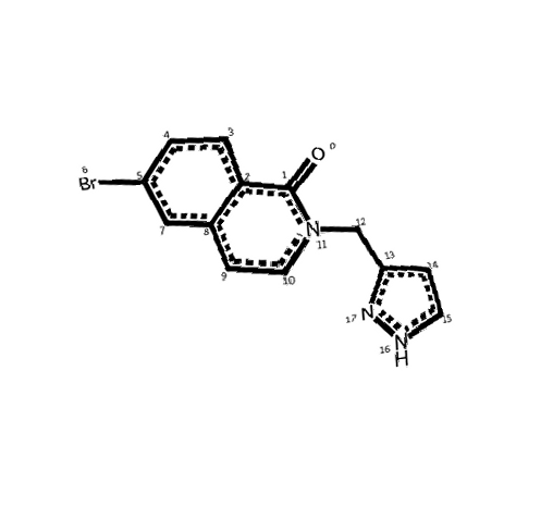 O=c1c2ccc(Br)cc2ccn1Cc1cc[nH]n1